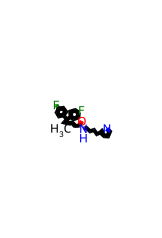 CC1(/C=C/C(=O)NCCCCc2cccnc2)CC1(c1ccc(F)cc1)c1ccc(F)cc1